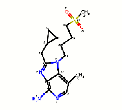 Cc1cnc(N)c2nc(CC3CC3)n(CCCCS(C)(=O)=O)c12